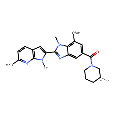 CCn1c(-c2nc3cc(C(=O)N4CCC[C@@H](C)C4)cc(OC)c3n2C)cc2ccc(OC)nc21